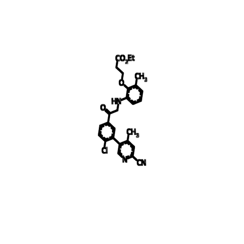 CCOC(=O)CCOc1c(C)cccc1NCC(=O)c1ccc(Cl)c(-c2cnc(C#N)cc2C)c1